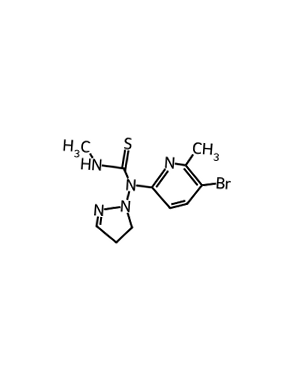 CNC(=S)N(c1ccc(Br)c(C)n1)N1CCC=N1